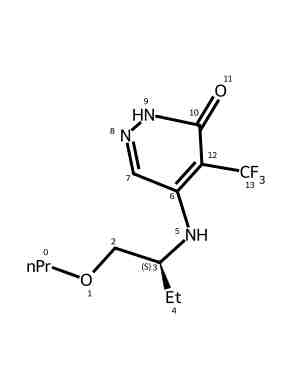 CCCOC[C@H](CC)Nc1cn[nH]c(=O)c1C(F)(F)F